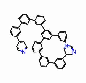 c1ccc(-c2cc(-c3cccc(-c4cccc(-c5cccc(-c6ccncc6)c5)c4)c3)cc(-c3cccc(-c4cccc(-c5cccc(-c6cncnc6)c5)c4)c3)c2)cc1